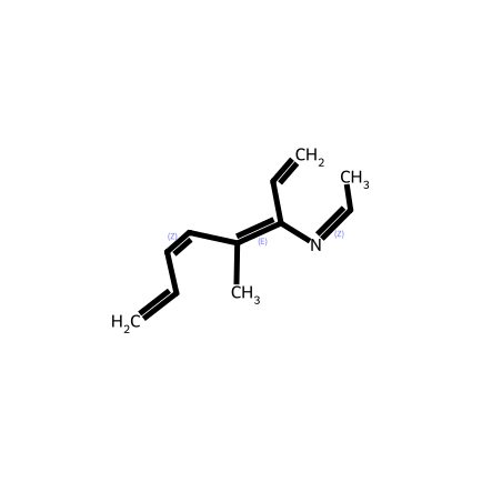 C=C\C=C/C(C)=C(C=C)/N=C\C